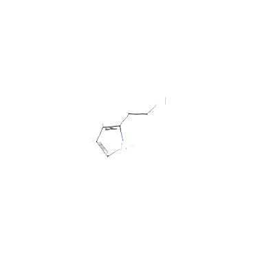 ClCCc1ccc[nH]1